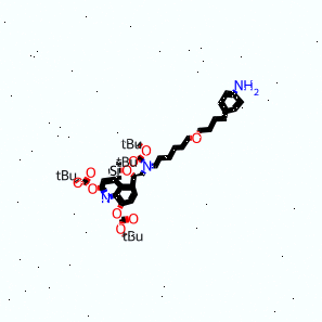 CC(C)(C)OC(=O)Oc1ccc2c([C@H](CN(CCCCCCOCCCCc3ccc(N)cc3)C(=O)OC(C)(C)C)O[Si](C)(C)C(C)(C)C)ccc(OC(=O)OC(C)(C)C)c2n1